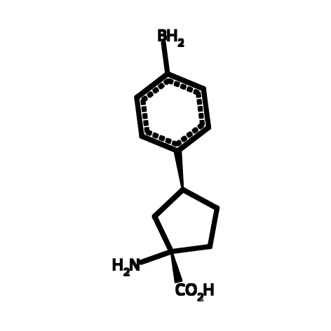 Bc1ccc([C@H]2CC[C@@](N)(C(=O)O)C2)cc1